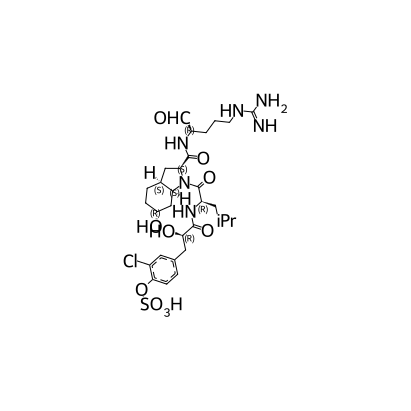 CC(C)C[C@@H](NC(=O)[C@H](O)Cc1ccc(OS(=O)(=O)O)c(Cl)c1)C(=O)N1[C@H](C(=O)N[C@@H](C=O)CCCNC(=N)N)C[C@@H]2CC[C@@H](O)C[C@@H]21